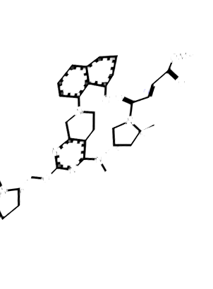 COC(=O)/C=C/C(=O)N1C[C@@H](N(C)c2nc(OC[C@@H]3CCCN3C)nc3c2CCN(c2cccc4cccc(Cl)c24)C3)C[C@@H]1C